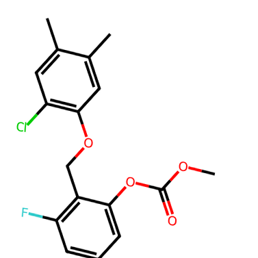 COC(=O)Oc1cccc(F)c1COc1cc(C)c(C)cc1Cl